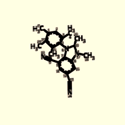 Cc1cc(C)c(N2c3c(C#N)cc(C#N)cc3N(C)[C@@H]2C)c(C)c1C